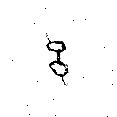 CC(=O)c1ccc(-c2ccc(F)cc2)nc1